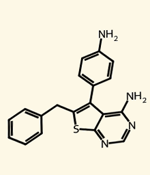 Nc1ccc(-c2c(Cc3ccccc3)sc3ncnc(N)c23)cc1